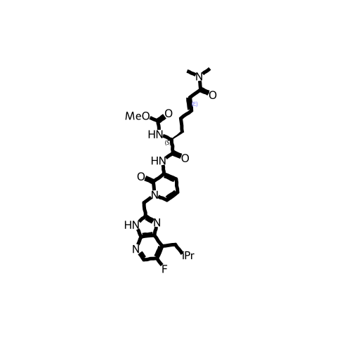 COC(=O)N[C@@H](CC/C=C/C(=O)N(C)C)C(=O)Nc1cccn(Cc2nc3c(CC(C)C)c(F)cnc3[nH]2)c1=O